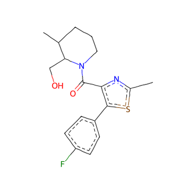 Cc1nc(C(=O)N2CCCC(C)C2CO)c(-c2ccc(F)cc2)s1